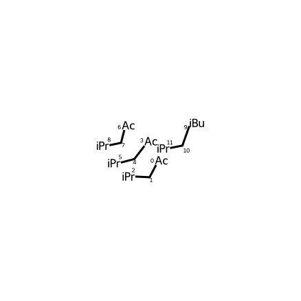 CC(=O)CC(C)C.CC(=O)CC(C)C.CC(=O)CC(C)C.CCC(C)CC(C)C